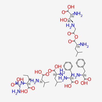 CC(C)C[C@H](N)C(=O)O.CC(C)C[C@H](N)C(=O)OC(=O)CN.CC(C)[C@H](N)C(=O)O.CC[C@H](C)[C@H](N)C(=O)O.C[C@@H](O)[C@H](N)C(=O)O.NCC(=O)O.N[C@@H](Cc1ccccc1)C(=O)O.N[C@@H](Cc1ccccc1)C(=O)O